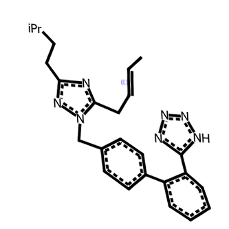 C/C=C/Cc1nc(CCC(C)C)nn1Cc1ccc(-c2ccccc2-c2nnn[nH]2)cc1